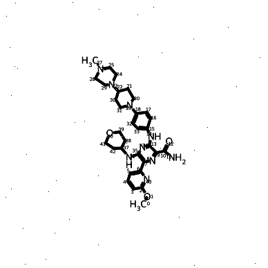 COc1cccc(-c2nc(C(N)=O)c(Nc3ccc(N4CCC(N5CCN(C)CC5)CC4)cc3)nc2NC2CCOCC2)n1